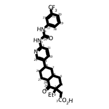 CCC1(CC(=O)O)CCC2CC(c3ccc(NC(=O)Nc4cccc(C(F)(F)F)c4)nc3)CCC2C1=O